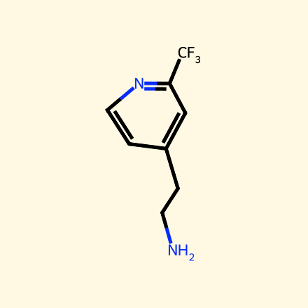 NCCc1ccnc(C(F)(F)F)c1